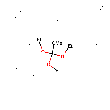 CCOC(OC)(OCC)OCC